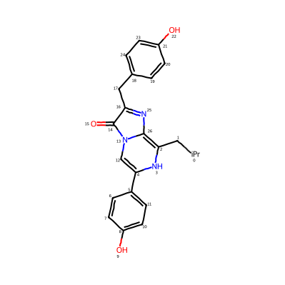 CC(C)Cc1[nH]c(-c2ccc(O)cc2)cn2c(=O)c(Cc3ccc(O)cc3)nc1-2